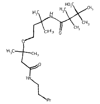 CC(C)CCNC(=O)CC(C)(C)OCCC(C)(C)NC(=O)C(C)(C)C(C)(C)C(=O)O